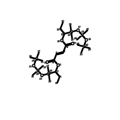 CCC(OC(=O)/C=C/C(=O)OC(CC)[Si](C)(C)O[Si](C)(C)O[Si](C)(C)C)[Si](C)(C)O[Si](C)(C)O[Si](C)(C)C